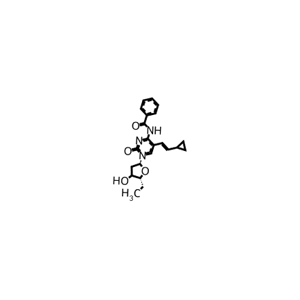 CC[C@H]1O[C@@H](n2cc(/C=C/C3CC3)c(NC(=O)c3ccccc3)nc2=O)CC1O